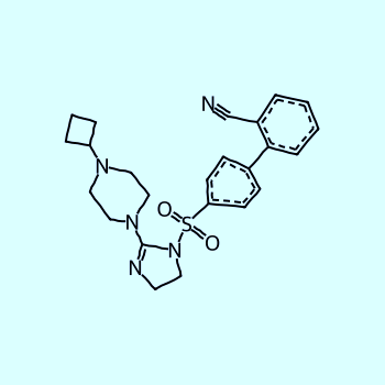 N#Cc1ccccc1-c1ccc(S(=O)(=O)N2CCN=C2N2CCN(C3CCC3)CC2)cc1